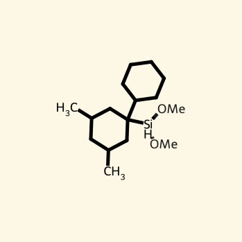 CO[SiH](OC)C1(C2CCCCC2)CC(C)CC(C)C1